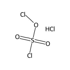 Cl.O=S(=O)(Cl)OCl